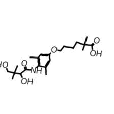 Cc1cc(OCCCCC(C)(C)C(=O)O)cc(C)c1NC(=O)C(O)C(C)(C)CO